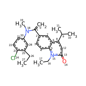 C=C(c1ccc2c(c1)c(C(C)C)cc(=O)n2CC)N(C)c1ccc(Cl)c(CC)c1